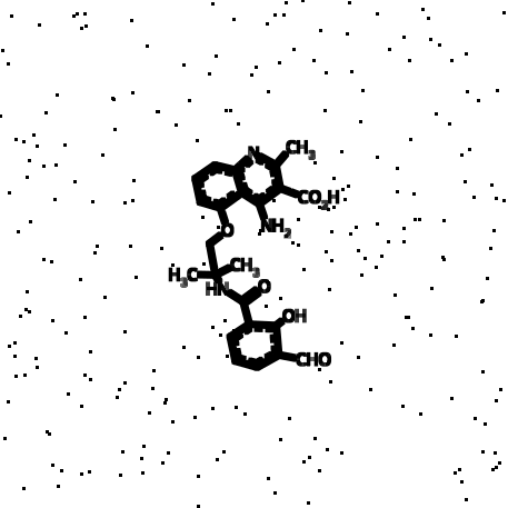 Cc1nc2cccc(OCC(C)(C)NC(=O)c3cccc(C=O)c3O)c2c(N)c1C(=O)O